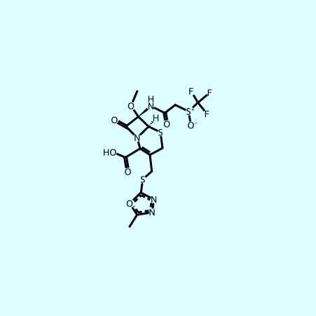 CO[C@@]1(NC(=O)C[S+]([O-])C(F)(F)F)C(=O)N2C(C(=O)O)=C(CSc3nnc(C)o3)CS[C@@H]21